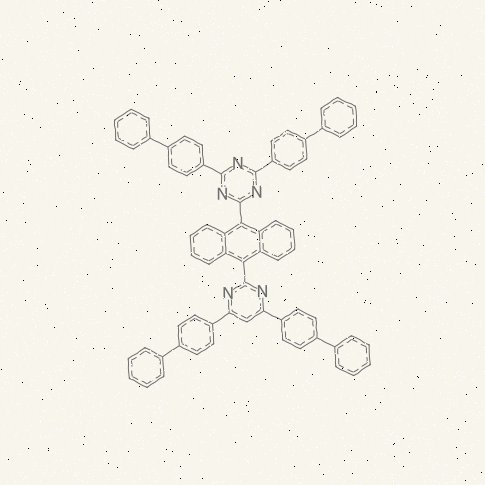 c1ccc(-c2ccc(-c3cc(-c4ccc(-c5ccccc5)cc4)nc(-c4c5ccccc5c(-c5nc(-c6ccc(-c7ccccc7)cc6)nc(-c6ccc(-c7ccccc7)cc6)n5)c5ccccc45)n3)cc2)cc1